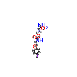 NC(=O)/C=C/COC(=O)NCCOc1ccc(I)cc1